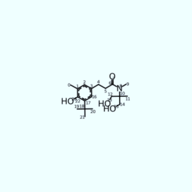 Cc1cc(CCC(=O)N(C)C(C)(CO)CO)cc(C(C)(C)C)c1O